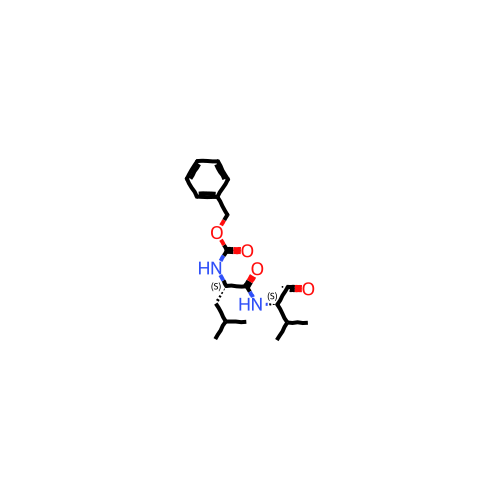 CC(C)C[C@H](NC(=O)OCc1ccccc1)C(=O)N[C@H]([C]=O)C(C)C